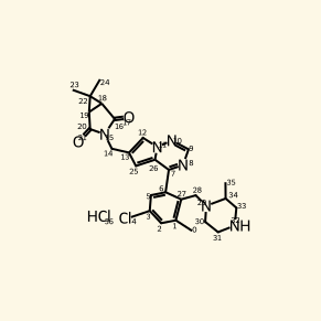 Cc1cc(Cl)cc(-c2ncnn3cc(CN4C(=O)C5C(C4=O)C5(C)C)cc23)c1CN1CCNCC1C.Cl